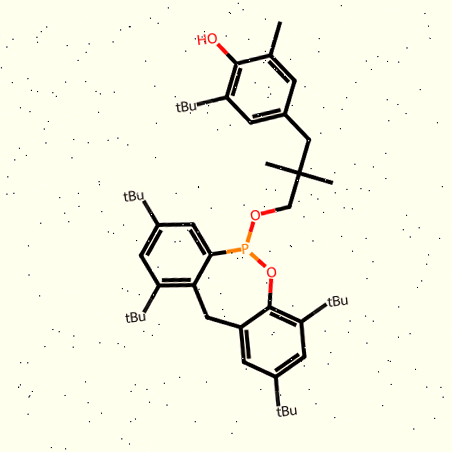 Cc1cc(CC(C)(C)COP2Oc3c(cc(C(C)(C)C)cc3C(C)(C)C)Cc3c2cc(C(C)(C)C)cc3C(C)(C)C)cc(C(C)(C)C)c1O